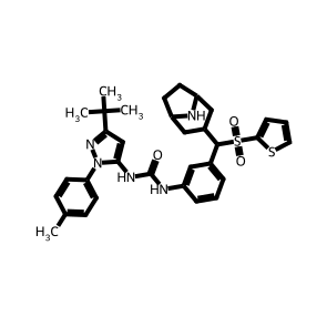 Cc1ccc(-n2nc(C(C)(C)C)cc2NC(=O)Nc2cccc(C(C3CC4CCC(C3)N4)S(=O)(=O)c3cccs3)c2)cc1